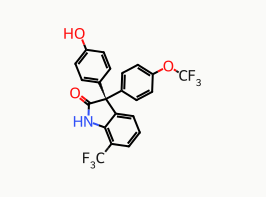 O=C1Nc2c(C(F)(F)F)cccc2[C@@]1(c1ccc(O)cc1)c1ccc(OC(F)(F)F)cc1